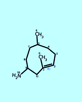 C/C1=C\CCC(C)CCC(N)C1